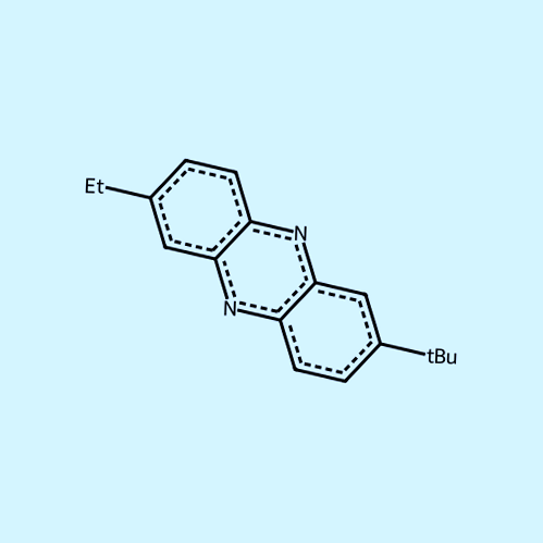 CCc1ccc2nc3cc(C(C)(C)C)ccc3nc2c1